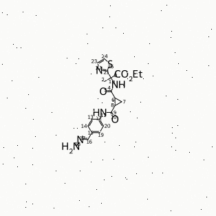 CCOC(=O)C(C)(NC(=O)C1CC1C(=O)Nc1ccc(C=NN)cc1)c1nccs1